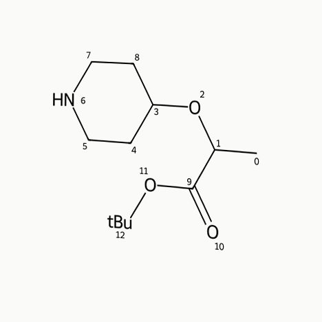 CC(OC1CCNCC1)C(=O)OC(C)(C)C